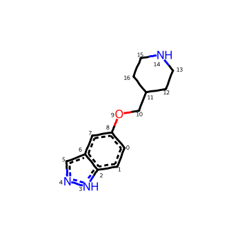 c1cc2[nH]ncc2cc1OCC1CCNCC1